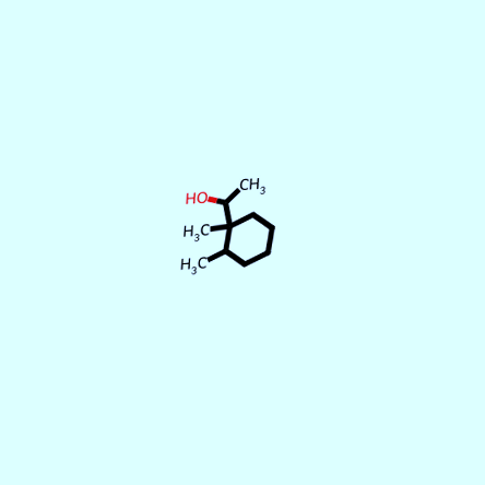 CC(O)C1(C)CCCCC1C